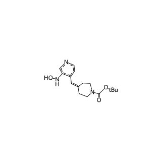 CC(C)(C)OC(=O)N1CCC(=Cc2ccncc2NO)CC1